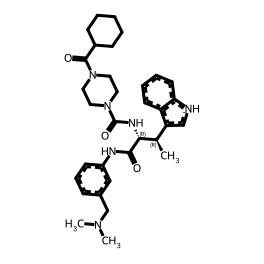 C[C@H](c1c[nH]c2ccccc12)[C@@H](NC(=O)N1CCN(C(=O)C2CCCCC2)CC1)C(=O)Nc1cccc(CN(C)C)c1